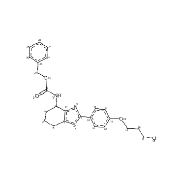 O=C(NC1CCCc2sc(-c3ccc(OCCCCl)cc3)nc21)OCc1ccccc1